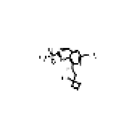 Cc1cc2cnc(S(C)(=O)=O)nc2c(NCC2(O)CCC2)n1